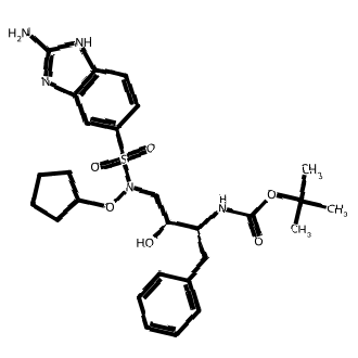 CC(C)(C)OC(=O)N[C@@H](Cc1ccccc1)[C@@H](O)CN(OC1CCCC1)S(=O)(=O)c1ccc2[nH]c(N)nc2c1